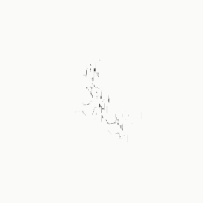 CCc1nc2c([C@@H](C)Nc3ccc(Cl)nc3C(=O)O)cc(C)cc2c2nc(-c3ccn(C)n3)cn12